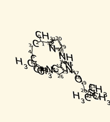 CC1CCCCC(C)(C)C(=O)N2Cc3c(nn(COCC[Si](C)(C)C)c3C2)Nc2cccc1n2